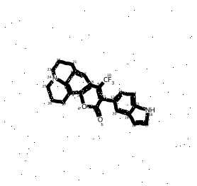 O=c1oc2c3c4c(cc2c(C(F)(F)F)c1-c1ccc2[nH]ccc2c1)CCCN4CCC3